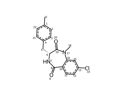 Cc1ccc(C[C@H]2NC(=O)c3ccc(Cl)cc3N(C)C2=O)cc1